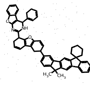 CC1(C)c2ccc(C3C=Cc4oc5c(c4C3)C=CCC5C3=Nc4oc5ccccc5c4C(C4=CC=CCC4)N3)cc2-c2cc3c(cc21)-c1ccccc1C31CCCCC1